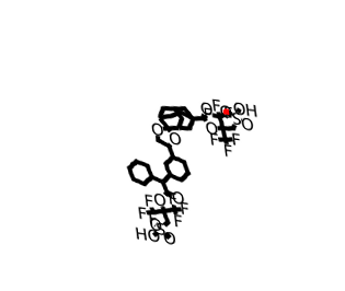 O=C(OC(CS(=O)(=O)O)(C(F)(F)F)C(F)(F)F)C(C1CCCCC1)C1CCCC(C2COC3(O2)C2CC4CC3CC(C(=O)OC(CS(=O)(=O)O)(C(F)(F)F)C(F)(F)F)(C4)C2)C1